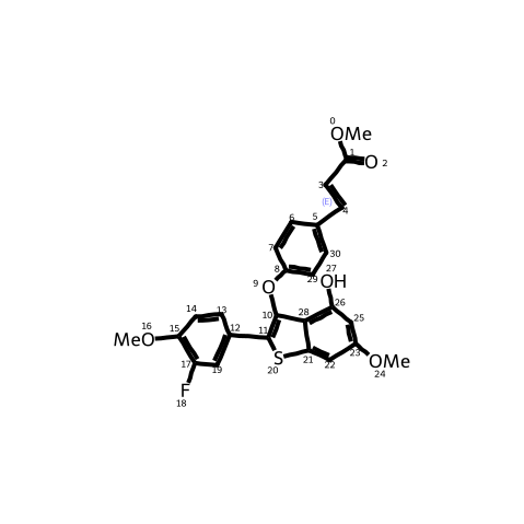 COC(=O)/C=C/c1ccc(Oc2c(-c3ccc(OC)c(F)c3)sc3cc(OC)cc(O)c23)cc1